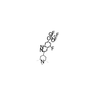 C[C@@H]1CC(c2cc3c(F)cc(OS(=O)(=O)C(F)(F)F)cc3nn2)C[C@H](C)N1C